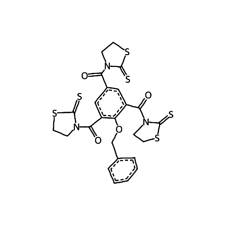 O=C(c1cc(C(=O)N2CCSC2=S)c(OCc2ccccc2)c(C(=O)N2CCSC2=S)c1)N1CCSC1=S